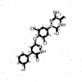 C=C1NC(=O)N(c2cc(Cl)c(Oc3cc(-c4cccc(F)c4)c(=O)[nH]n3)c(Cl)c2)N=C1N